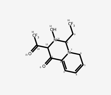 O=C1C2=CC=CCN2C(CC(F)(F)F)N(O)C1C(=O)C(F)(F)F